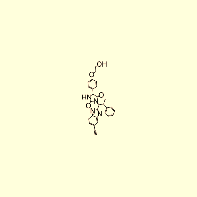 C#CC1=CCC2=NC([C@H]([C@@H](C)c3ccccc3)N3C(=O)N[C@H](c4ccc(OCCO)cc4)C3=O)=NC2=C1